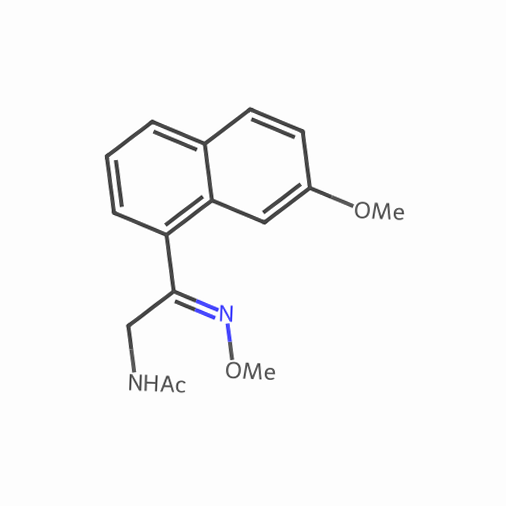 CON=C(CNC(C)=O)c1cccc2ccc(OC)cc12